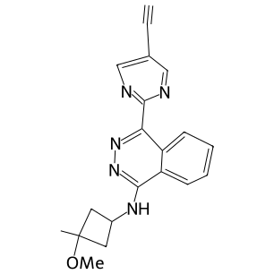 C#Cc1cnc(-c2nnc(NC3CC(C)(OC)C3)c3ccccc23)nc1